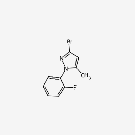 Cc1cc(Br)nn1-c1ccccc1F